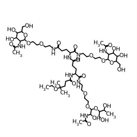 CCOC(C)(C)CCC(=O)NC(CCC(=O)NC(CCC(=O)NCCOCCOC1OC(CO)C(O)C(O)C1NC(C)=O)C(=O)NCCOCCOC1OC(CO)C(O)C(O)C1NC(C)=O)C(=O)NCCOCCOC(OC(CO)C(C)O)C(O)NC(C)=O